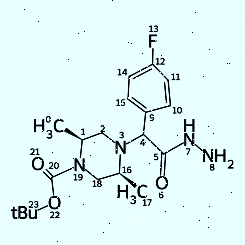 C[C@H]1CN(C(C(=O)NN)c2ccc(F)cc2)[C@@H](C)CN1C(=O)OC(C)(C)C